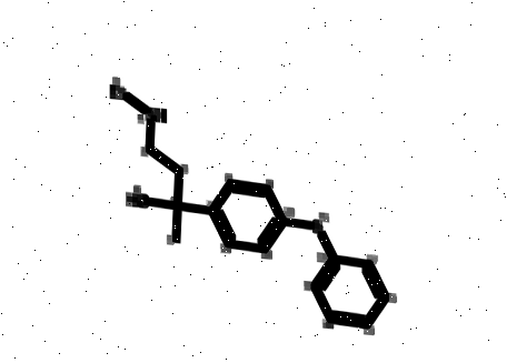 CCNCCC(C)(O)c1ccc(Sc2ccccc2)cc1